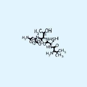 CC(C)[C@H](N)C(=O)N[C@@H](CS)C(=O)N[C@H](C(=O)N[C@@H](CC(N)=O)C(=O)O)[C@@H](C)O